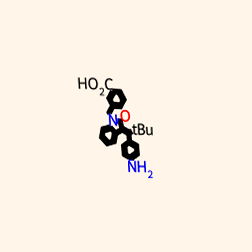 CC(C)(C)/C(=C1\C(=O)N(Cc2cccc(C(=O)O)c2)c2ccccc21)c1ccc(N)cc1